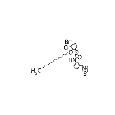 CCCCCCCCCCCCCCOc1c(Cl)cccc1OCC(=O)Nc1cccc(C[n+]2ccsc2)c1.[Br-]